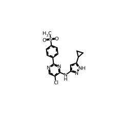 CS(=O)(=O)c1ccc(-c2ncc(Cl)c(Nc3cc(C4CC4)[nH]n3)n2)cc1